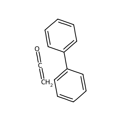 C=C=O.c1ccc(-c2ccccc2)cc1